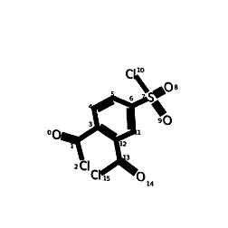 O=C(Cl)c1ccc(S(=O)(=O)Cl)cc1C(=O)Cl